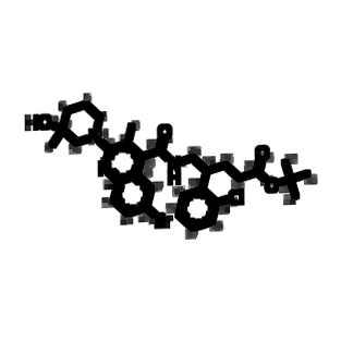 Cc1c(N2CCCC(C)(O)C2)nc2ccc(Br)cc2c1C(=O)NCC(CCC(=O)OC(C)(C)C)c1ccccc1Cl